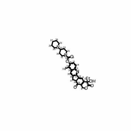 CC[C@@]1(O)C(=O)OCC2=C1C=C1c3nc4ccc(OC(=O)N5CCC(N6CCCCC6)CC5)c(I)c4cc3CC1C2=O